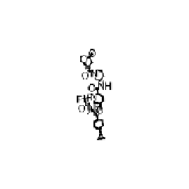 C[C@H](NC(=O)C(C)(F)F)[C@H](Oc1ccc(C(=O)N[C@H]2CCCN(C(=O)[C@H]3COC(=O)C3)C2)nc1)c1ccc(C2CC2)cc1